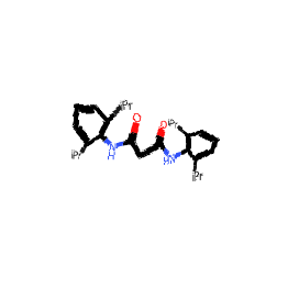 CC(C)c1cccc(C(C)C)c1NC(=O)CC(=O)Nc1c(C(C)C)cccc1C(C)C